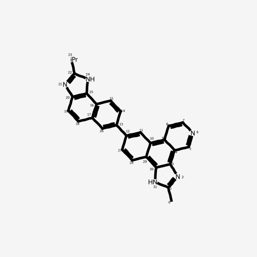 Cc1nc2c3cnccc3c3cc(-c4ccc5c(ccc6nc(C(C)C)[nH]c65)c4)ccc3c2[nH]1